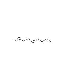 [CH2]OCCOCCCC